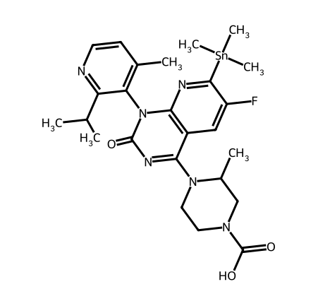 Cc1ccnc(C(C)C)c1-n1c(=O)nc(N2CCN(C(=O)O)CC2C)c2cc(F)[c]([Sn]([CH3])([CH3])[CH3])nc21